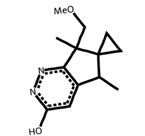 COCC1(C)c2nnc(O)cc2C(C)C12CC2